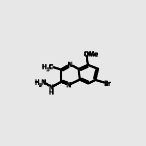 COc1cc(Br)cc2nc(NN)c(C)nc12